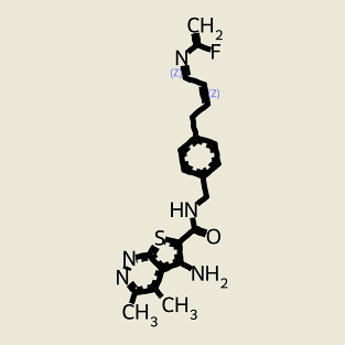 C=C(F)/N=C\C=C/Cc1ccc(CNC(=O)c2sc3nnc(C)c(C)c3c2N)cc1